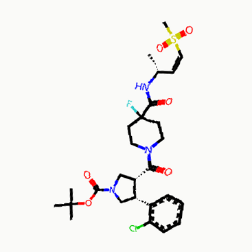 C[C@H](/C=C\S(C)(=O)=O)NC(=O)C1(F)CCN(C(=O)[C@H]2CN(C(=O)OC(C)(C)C)C[C@H]2c2ccccc2Cl)CC1